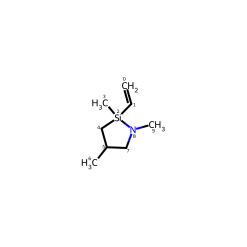 C=C[Si]1(C)CC(C)CN1C